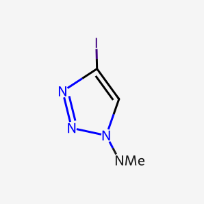 CNn1cc(I)nn1